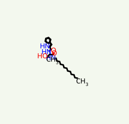 CCCCCCCCCCCCCCNC(=O)[C@@H](NC(=O)c1cc2ccccc2[nH]1)[C@@H](C)O